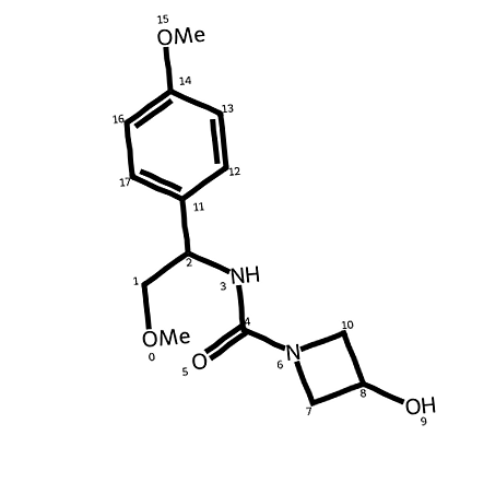 COCC(NC(=O)N1CC(O)C1)c1ccc(OC)cc1